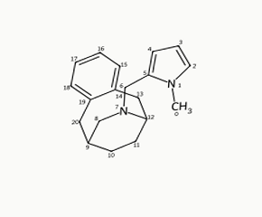 Cn1cccc1CN1CC2CCC1Cc1ccccc1C2